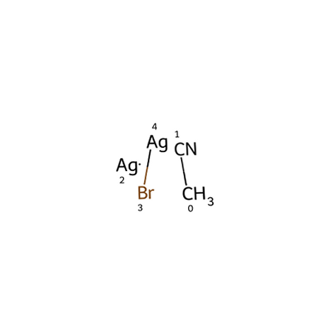 CC#N.[Ag].[Br][Ag]